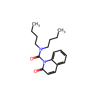 CCCCN(CCCC)C(=O)n1c(=O)ccc2ccccc21